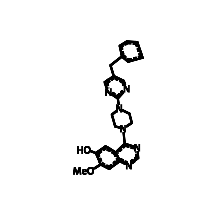 COc1cc2ncnc(N3CCN(c4ncc(Cc5ccccc5)cn4)CC3)c2cc1O